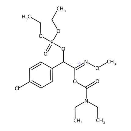 CCOP(=O)(OCC)OC(/C(=N/OC)OC(=O)N(CC)CC)c1ccc(Cl)cc1